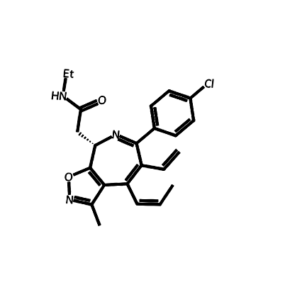 C=CC1=C(/C=C\C)c2c(C)noc2[C@H](CC(=O)NCC)N=C1c1ccc(Cl)cc1